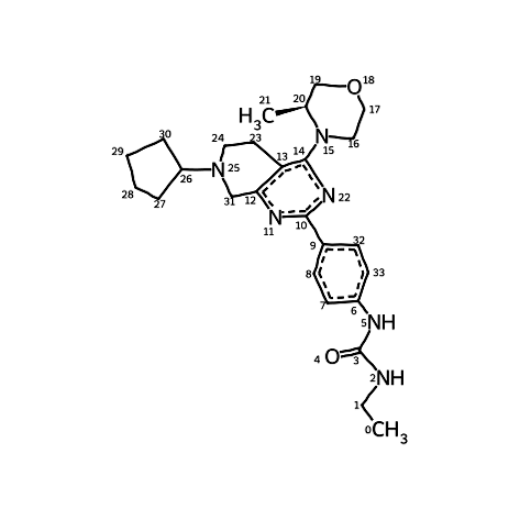 CCNC(=O)Nc1ccc(-c2nc3c(c(N4CCOC[C@@H]4C)n2)CCN(C2CCCC2)C3)cc1